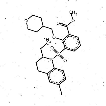 CCC1CCc2cc(I)ccc2N1S(=O)(=O)c1cccc(C(=O)OC)c1OCC1CCOCC1